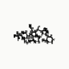 CC(c1cc(-c2ccccc2F)no1)c1c(C#N)c(-c2cnc(C(F)(F)F)nc2)c2c(N)ncnn12